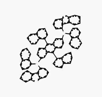 c1ccc2c(-c3c4ccc(N(c5cccc6ccccc56)c5cccc6oc7ccccc7c56)cc4c(-c4cccc5ccccc45)c4ccc(N(c5cccc6ccccc56)c5cccc6oc7ccccc7c56)cc34)cccc2c1